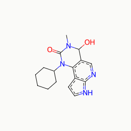 CN1C(=O)N(C2CCCCC2)c2c(cnc3[nH]ccc23)C1O